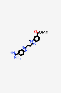 COC(=O)c1ccc2nc(CCc3nc4cc(C(=N)N)ccc4[nH]3)n(C)c2c1